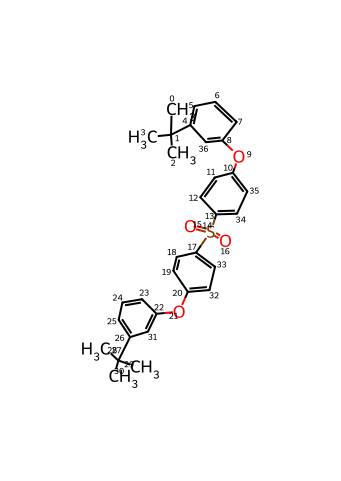 CC(C)(C)c1cccc(Oc2ccc(S(=O)(=O)c3ccc(Oc4cccc(C(C)(C)C)c4)cc3)cc2)c1